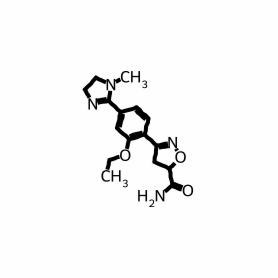 CCOc1cc(C2=NCCN2C)ccc1C1=NOC(C(N)=O)C1